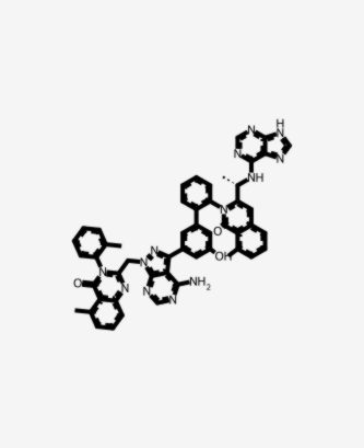 Cc1ccccc1-n1c(Cn2nc(-c3cc(O)cc(-c4ccccc4-n4c([C@H](C)Nc5ncnc6[nH]cnc56)cc5cccc(C)c5c4=O)c3)c3c(N)ncnc32)nc2cccc(C)c2c1=O